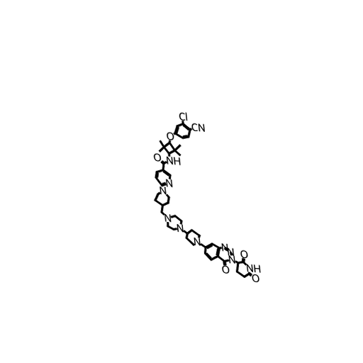 CC1(C)C(NC(=O)c2ccc(N3CCC(CN4CCN(C5CCN(c6ccc7c(=O)n(C8CCC(=O)NC8=O)nnc7c6)CC5)CC4)CC3)nc2)C(C)(C)C1Oc1ccc(C#N)c(Cl)c1